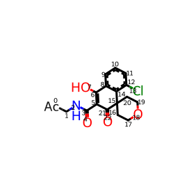 CC(=O)CNC(=O)C1=C(O)c2cccc(Cl)c2C2(CCOCC2)C1=O